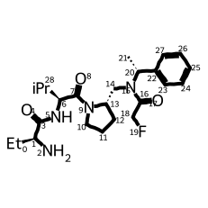 CC[C@H](N)C(=O)N[C@H](C(=O)N1CCC[C@H]1CN(C(=O)CF)[C@H](C)c1ccccc1)C(C)C